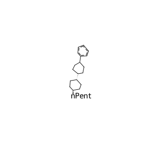 CCCCC[C@H]1CC[C@H](C2CCC(c3ccccc3)CC2)CC1